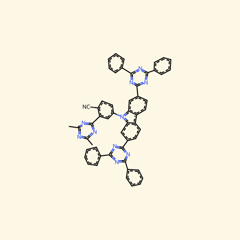 Cc1nc(C)nc(-c2cc(-n3c4cc(-c5nc(-c6ccccc6)nc(-c6ccccc6)n5)ccc4c4ccc(-c5nc(-c6ccccc6)nc(-c6ccccc6)n5)cc43)ccc2C#N)n1